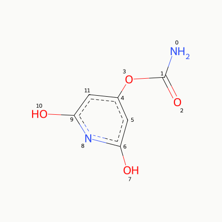 NC(=O)Oc1cc(O)nc(O)c1